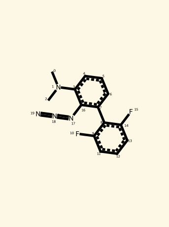 CN(C)c1cccc(-c2c(F)cccc2F)c1N=[N+]=[N-]